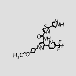 CCO[C@H]1C[C@H](n2cc(NC(=O)c3csc(-c4cn[nH]c4)n3)c(-c3ccc(C(F)(F)F)cn3)n2)C1